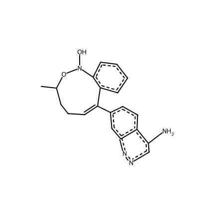 CC1CCC=C(c2ccc3c(N)cnnc3c2)c2ccccc2N(O)O1